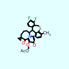 CC(=O)OCOc1c2n(ccc1=O)C(C1c3ccc(F)c(F)c3CSc3c(C)cccc31)CCCC1(CC1)C2=O